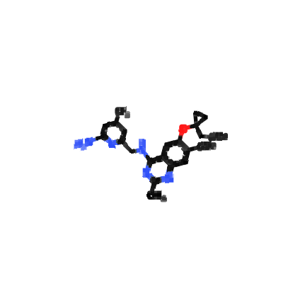 COCC1(Oc2cc3c(NCc4cc(C(F)(F)F)cc(N)n4)nc(C)nc3cc2OC)CC1